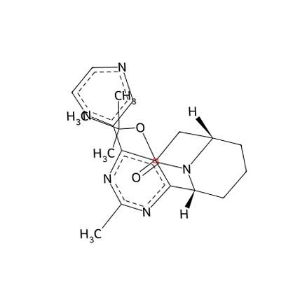 Cc1nc(-c2cnccn2)c2c(n1)[C@H]1CCC[C@@H](C2)N1C(=O)OC(C)(C)C